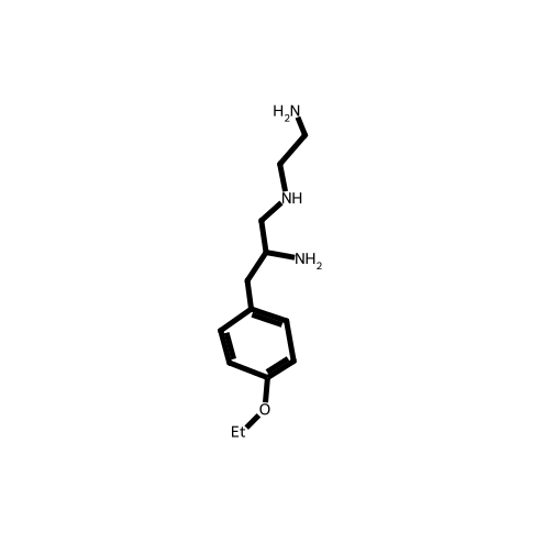 CCOc1ccc(CC(N)CNCCN)cc1